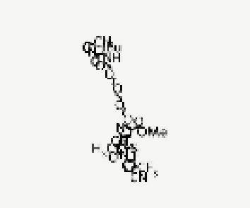 COC(=O)c1cc(N2C(=S)N(c3ccc(C#N)c(C(F)(F)F)c3F)C(=O)C2(C)C)cnc1OCCOCCOCCOCC(=O)NC(C(=O)N1CCCC1C)C(C)(C)C